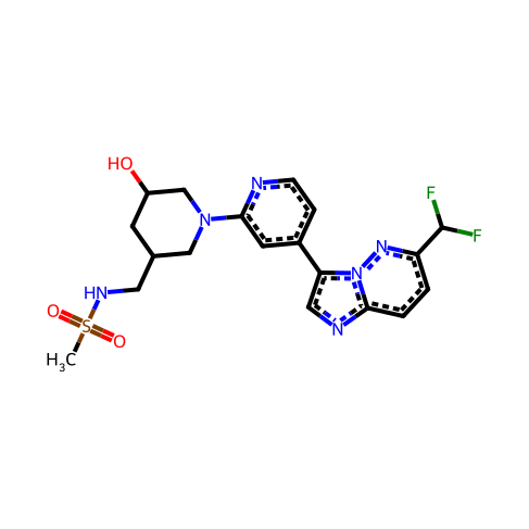 CS(=O)(=O)NCC1CC(O)CN(c2cc(-c3cnc4ccc(C(F)F)nn34)ccn2)C1